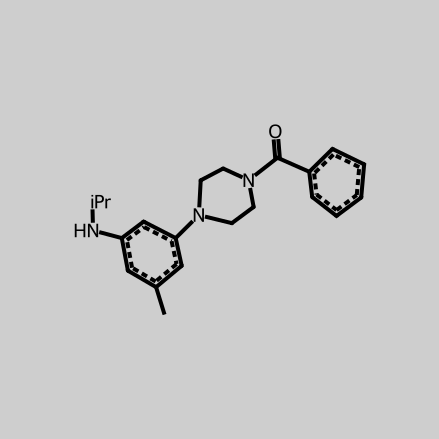 Cc1cc(NC(C)C)cc(N2CCN(C(=O)c3ccccc3)CC2)c1